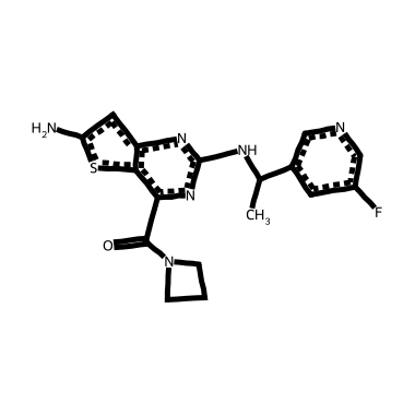 CC(Nc1nc(C(=O)N2CCC2)c2sc(N)cc2n1)c1cncc(F)c1